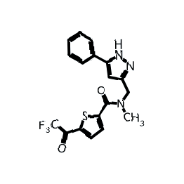 CN(Cc1cc(-c2ccccc2)[nH]n1)C(=O)c1ccc(C(=O)C(F)(F)F)s1